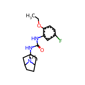 CCOc1ccc(F)cc1NC(=O)NC1CC2CCC(C1)N2C